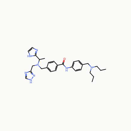 CCCN(CCC)Cc1ccc(NC(=O)c2ccc(CN(Cc3nc[nH]n3)C(C)c3ncc[nH]3)cc2)cc1